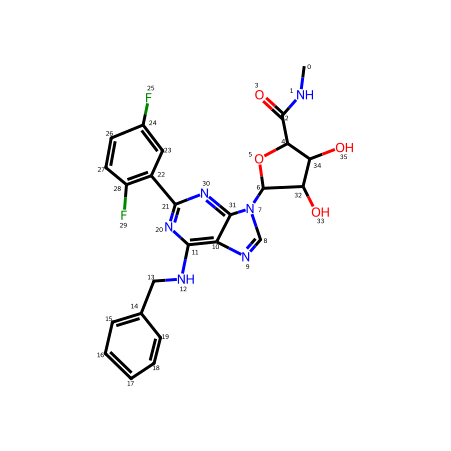 CNC(=O)C1OC(n2cnc3c(NCc4ccccc4)nc(-c4cc(F)ccc4F)nc32)C(O)C1O